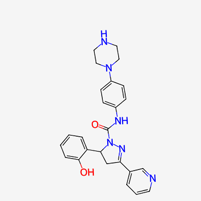 O=C(Nc1ccc(N2CCNCC2)cc1)N1N=C(c2cccnc2)CC1c1ccccc1O